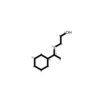 CC(SCCO)C1CCCCC1